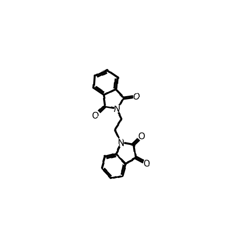 O=C1C(=O)N(CCN2C(=O)c3ccccc3C2=O)c2ccccc21